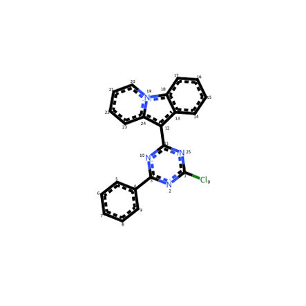 Clc1nc(-c2ccccc2)nc(-c2c3ccccc3n3ccccc23)n1